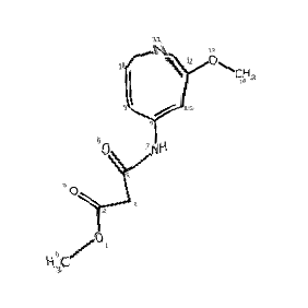 COC(=O)CC(=O)Nc1ccnc(OC)c1